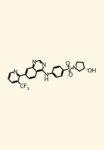 O=S(=O)(c1ccc(Nc2ncnc3cc(-c4ncccc4C(F)(F)F)ccc23)cc1)N1CC[C@H](O)C1